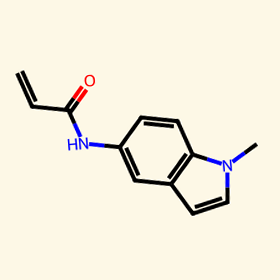 C=CC(=O)Nc1ccc2c(ccn2C)c1